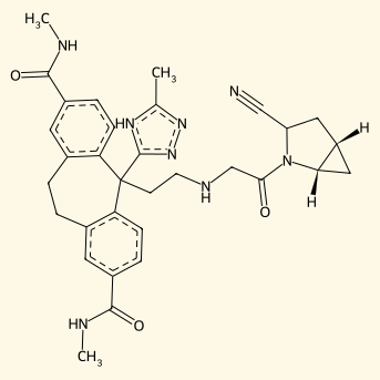 CNC(=O)c1ccc2c(c1)CCc1cc(C(=O)NC)ccc1C2(CCNCC(=O)N1C(C#N)C[C@@H]2C[C@@H]21)c1nnc(C)[nH]1